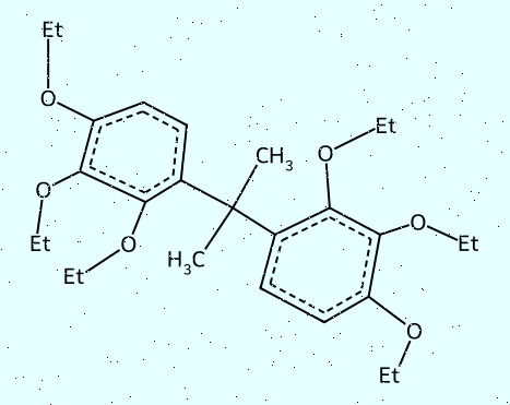 CCOc1ccc(C(C)(C)c2ccc(OCC)c(OCC)c2OCC)c(OCC)c1OCC